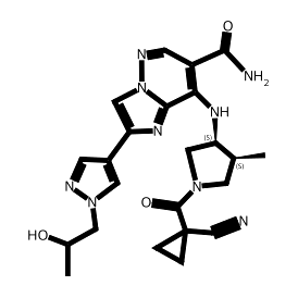 CC(O)Cn1cc(-c2cn3ncc(C(N)=O)c(N[C@@H]4CN(C(=O)C5(C#N)CC5)C[C@@H]4C)c3n2)cn1